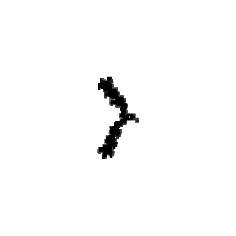 CC(CCCOc1ccc(-c2ccc(-c3cc(F)c(F)c(F)c3)c(F)c2)c(F)c1)CCCOc1ccc(-c2ccc(-c3cc(F)c(F)c(F)c3)c(F)c2)c(F)c1